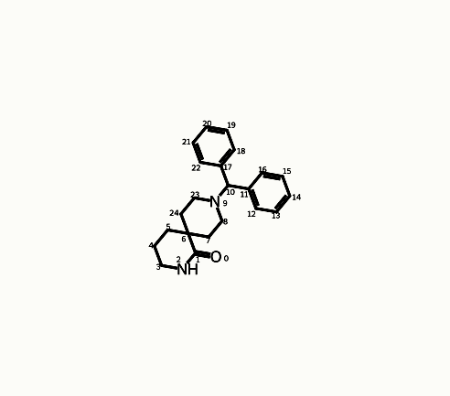 O=C1NCCCC12CCN(C(c1ccccc1)c1ccccc1)CC2